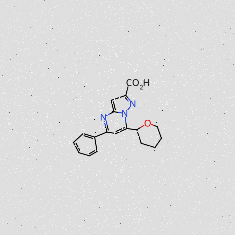 O=C(O)c1cc2nc(-c3ccccc3)cc(C3CCCCO3)n2n1